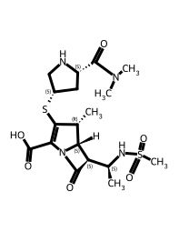 C[C@H](NS(C)(=O)=O)[C@H]1C(=O)N2C(C(=O)O)=C(S[C@@H]3CN[C@H](C(=O)N(C)C)C3)[C@H](C)[C@H]12